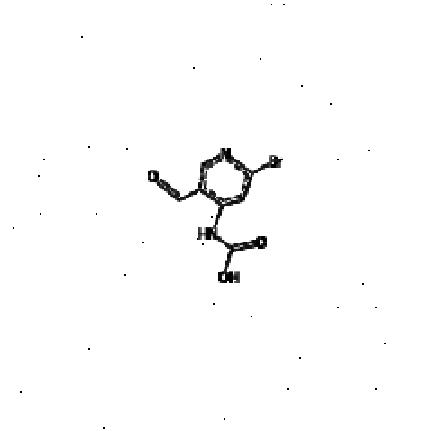 O=Cc1cnc(Br)cc1NC(=O)O